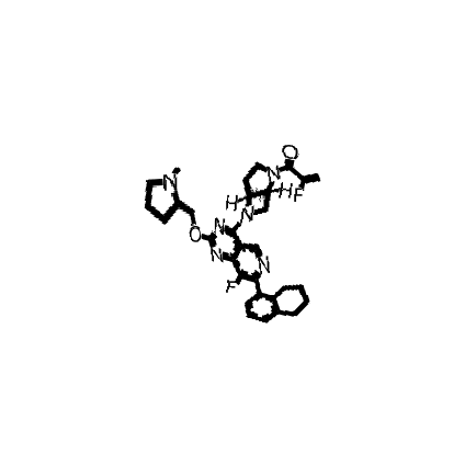 C=C(F)C(=O)N1CC[C@@H]2[C@H]1CN2c1nc(OCC2CCCN2C)nc2c(F)c(-c3cccc4c3CCCC4)ncc12